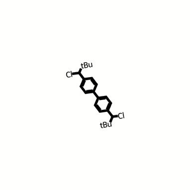 CC(C)(C)C(Cl)c1ccc(-c2ccc(C(Cl)C(C)(C)C)cc2)cc1